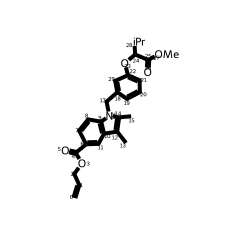 C=CCOC(=O)c1ccc2c(c1)c(C)c(C)n2Cc1cccc(OC(C(=O)OC)C(C)C)c1